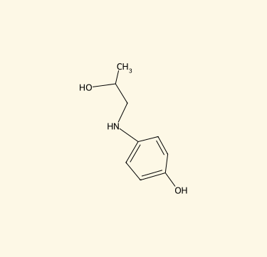 CC(O)CNc1ccc(O)cc1